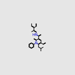 C=CC1=C(CC(C)C)N(c2ccccc2)C(=C)C(C(=C)N/C=C(C)/C(C=C)=C/C)=C1